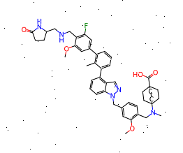 COc1cc(Cn2ncc3c(-c4cccc(-c5cc(F)c(CNCC6CCC(=O)N6)c(OC)c5)c4C)cccc32)ccc1CN(C)C12CCC(C(=O)O)(CC1)CC2